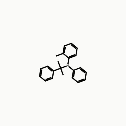 Cc1ccccc1N(c1ccccc1)C(C)(C)c1ccccc1